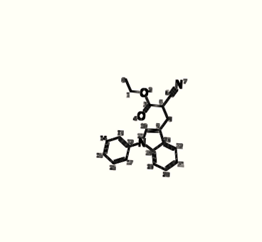 CCOC(=O)C(C#N)Cc1cn(-c2ccccc2)c2ccccc12